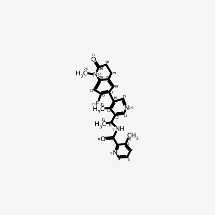 Cc1cccnc1C(=O)NC(C)c1cncc(-c2cc3c(cc2F)N(C)C(=O)CC3)c1C